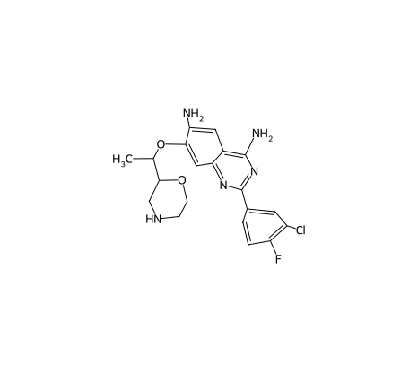 CC(Oc1cc2nc(-c3ccc(F)c(Cl)c3)nc(N)c2cc1N)C1CNCCO1